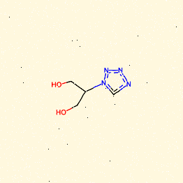 OCC(CO)n1[c]nnn1